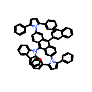 c1ccc(-c2ccc(-c3ccccc3)n2-c2ccc3c(-n4c5ccccc5c5ccccc54)c4cc(-n5c(-c6ccccc6)ccc5-c5ccccc5)ccc4c(-c4ccc5ccccc5c4)c3c2)cc1